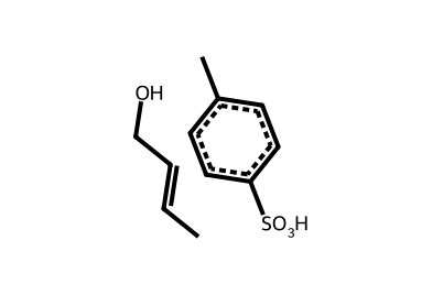 CC=CCO.Cc1ccc(S(=O)(=O)O)cc1